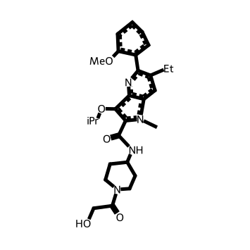 CCc1cc2c(nc1-c1ccccc1OC)c(OC(C)C)c(C(=O)NC1CCN(C(=O)CO)CC1)n2C